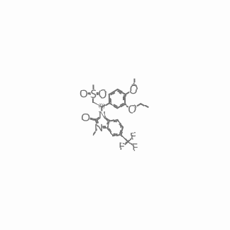 CCOc1cc([C@H](CS(C)(=O)=O)n2c(=O)n(C)c3cc(C(F)(F)F)ccc32)ccc1OC